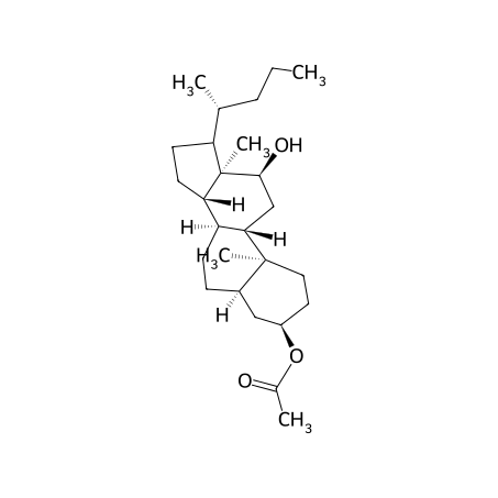 CCC[C@@H](C)C1CC[C@H]2[C@@H]3CC[C@@H]4C[C@H](OC(C)=O)CC[C@]4(C)[C@H]3C[C@H](O)[C@]12C